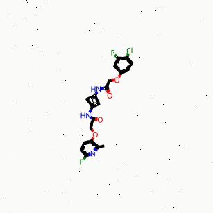 Cc1nc(F)ccc1OCC(=O)NC12CC(NC(=O)COc3ccc(Cl)c(F)c3)(C1)C2